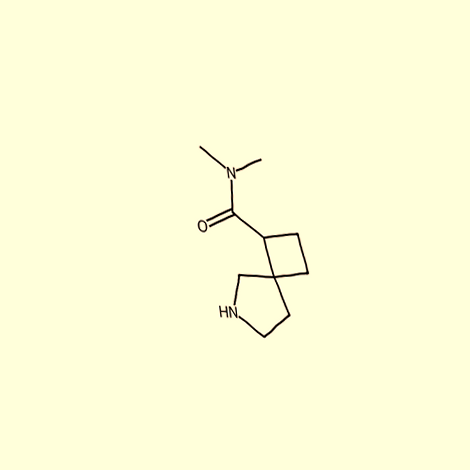 CN(C)C(=O)C1CCC12CCNC2